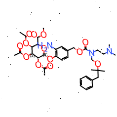 COC(=O)C1O[C@H](Oc2ccc(COC(=O)N(CCN(C)C)COC(C)(C)Cc3ccccc3)cc2N)C(OC(C)=O)[C@@H](OC(C)=O)C1OC(C)=O